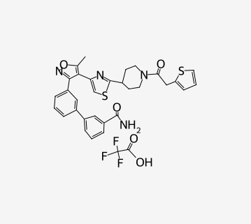 Cc1onc(-c2cccc(-c3cccc(C(N)=O)c3)c2)c1-c1csc(C2CCN(C(=O)Cc3cccs3)CC2)n1.O=C(O)C(F)(F)F